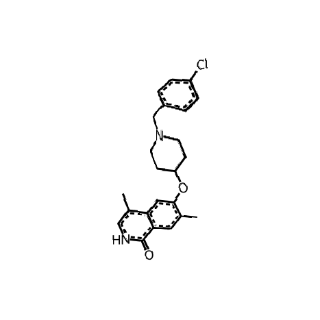 Cc1cc2c(=O)[nH]cc(C)c2cc1OC1CCN(Cc2ccc(Cl)cc2)CC1